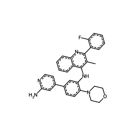 Cc1c(-c2ccccc2F)nc2ccccc2c1Nc1cc(-c2ccnc(N)c2)ccc1N1CCOCC1